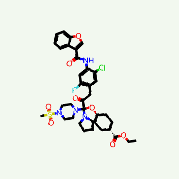 CCOC(=O)[C@H]1CC[C@H](OC(C(=O)Cc2cc(Cl)c(NC(=O)c3coc4ccccc34)cc2F)(N2CCCC2)N2CCN(S(C)(=O)=O)CC2)CC1